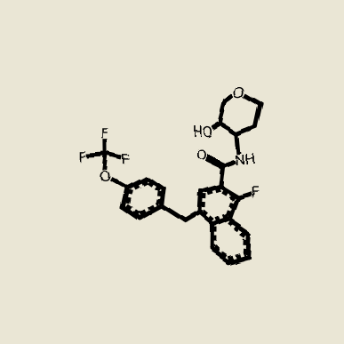 O=C(NC1CCOCC1O)c1cc(Cc2ccc(OC(F)(F)F)cc2)c2ccccc2c1F